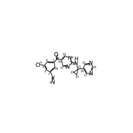 N#Cc1cc(Cl)cc(C(=O)c2cnc(NC3(c4cncnc4)CC3)nc2)c1